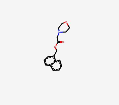 O=C(CN1CCOCC1)OCc1cccc2ccccc12